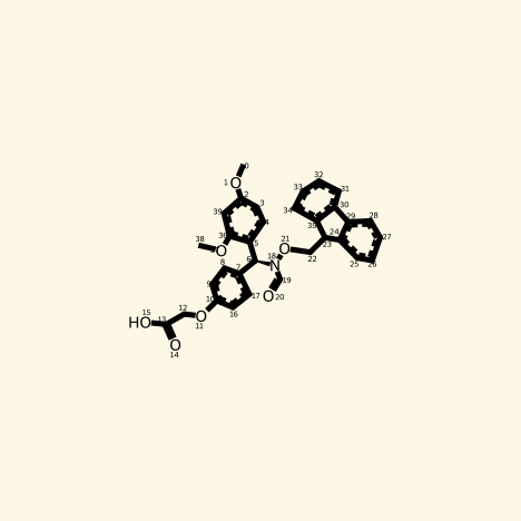 COc1ccc([C@H](c2ccc(OCC(=O)O)cc2)N(C=O)OCC2c3ccccc3-c3ccccc32)c(OC)c1